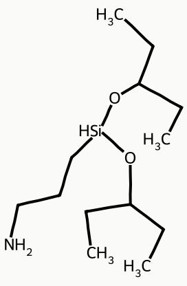 CCC(CC)O[SiH](CCCN)OC(CC)CC